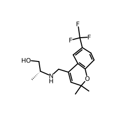 C[C@H](CO)NCC1=CC(C)(C)Oc2ccc(C(F)(F)F)cc21